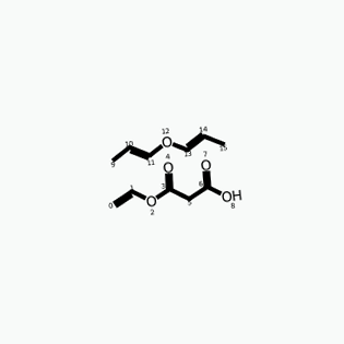 C=COC(=O)CC(=O)O.CC=COC=CC